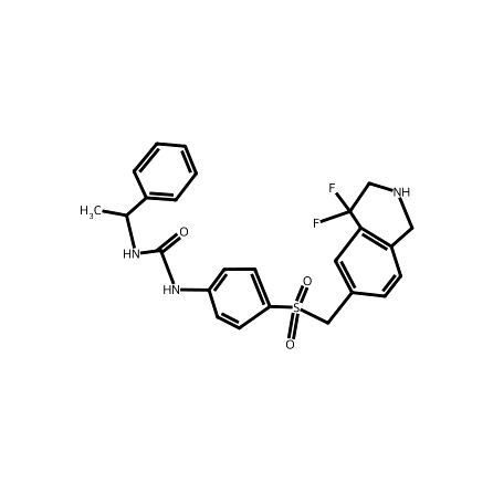 CC(NC(=O)Nc1ccc(S(=O)(=O)Cc2ccc3c(c2)C(F)(F)CNC3)cc1)c1ccccc1